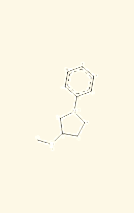 COC1CCN(c2cc[c]cc2)C1